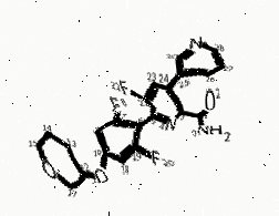 NC(=O)c1nc(-c2c(F)cc(OC3CCCOC3)cc2F)c(F)cc1-c1cccnc1